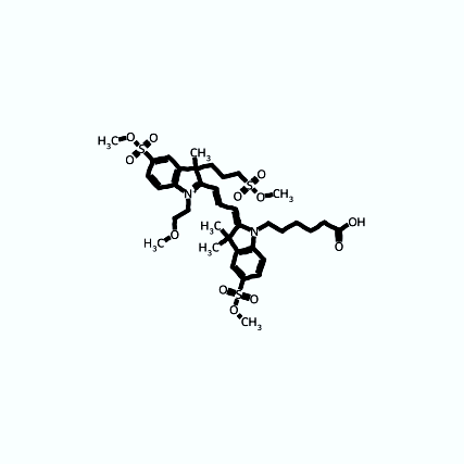 COCC[N+]1=C(/C=C/C=C2/N(CCCCCC(=O)O)c3ccc(S(=O)(=O)OC)cc3C2(C)C)C(C)(CCCS(=O)(=O)OC)c2cc(S(=O)(=O)OC)ccc21